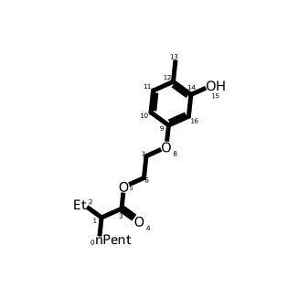 CCCCCC(CC)C(=O)OCCOc1ccc(C)c(O)c1